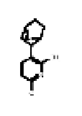 Cc1nc(Cl)ccc1[C@H]1CC2CCC1N2